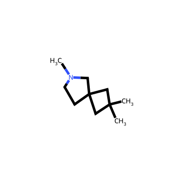 CN1CCC2(C1)CC(C)(C)C2